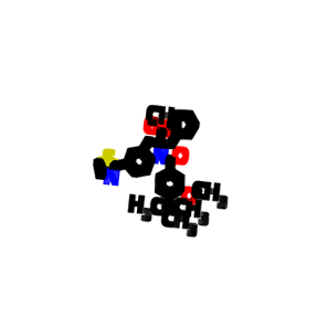 COC(=O)C1(Cc2ccccc2)Cc2cc(-c3nccs3)ccc2N1C(=O)c1ccc(C(C)(C)C)c(OC)c1